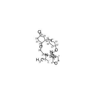 C[C@@H]1C[C@]2(COCCN2)[C@H]2COC3CCC(CC3)C3CC(Cl)CCC3OCCN12